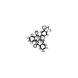 Cc1cccc(-n2c(=O)c3ccccc3n3c(=O)c4ccccc4nc23)c1